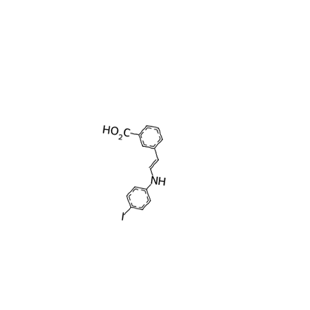 O=C(O)c1cccc(C=CNc2ccc(I)cc2)c1